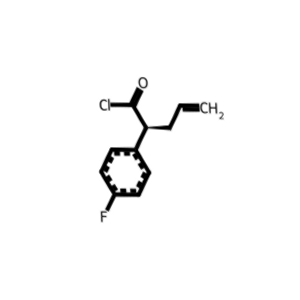 C=CC[C@H](C(=O)Cl)c1ccc(F)cc1